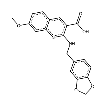 COc1ccc2cc(C(=O)O)c(NCc3ccc4c(c3)OCO4)nc2c1